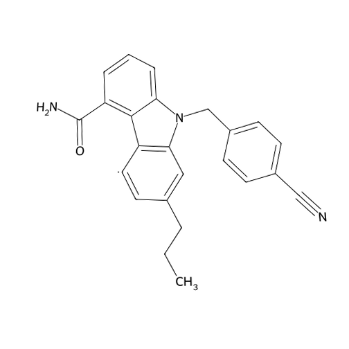 CCCc1c[c]c2c3c(C(N)=O)cccc3n(Cc3ccc(C#N)cc3)c2c1